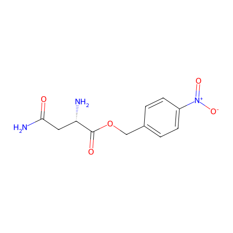 NC(=O)C[C@H](N)C(=O)OCc1ccc([N+](=O)[O-])cc1